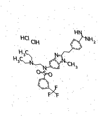 CCN(CC)CCN(c1ccc2c(c1)nc(CCc1ccc(C(=N)N)cc1)n2C)S(=O)(=O)c1cccc(C(F)(F)F)c1.Cl.Cl